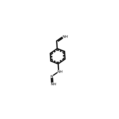 N=Cc1ccc(NN=N)cc1